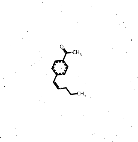 CCC/C=C\c1ccc(C(C)=O)cc1